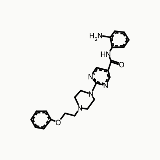 Nc1ccccc1NC(=O)c1cnc(N2CCN(CCOc3ccccc3)CC2)nc1